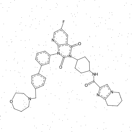 O=C(NC1CCC(n2c(=O)c3cc(F)cnc3n(-c3cccc(-c4ccc(CN5CCCOCC5)cc4)c3)c2=O)CC1)c1cn2c(n1)CCCC2